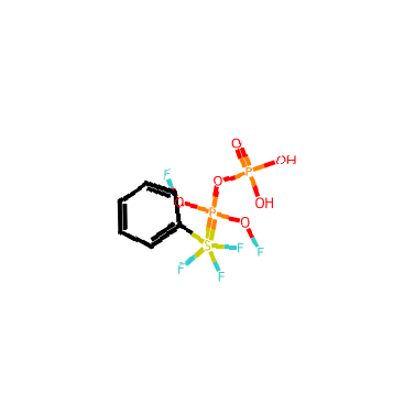 O=P(O)(O)OP(OF)(OF)=S(F)(F)(F)c1ccccc1